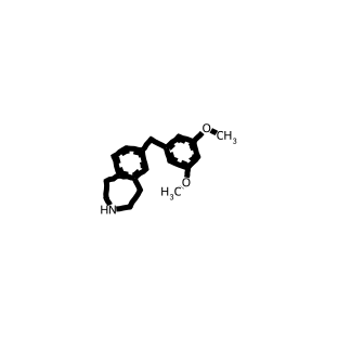 COc1cc(Cc2ccc3c(c2)CCNCC3)cc(OC)c1